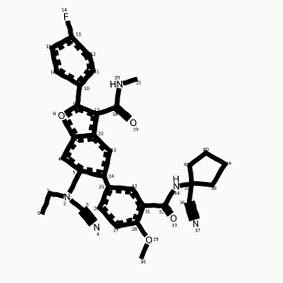 CCN(C#N)c1cc2oc(-c3ccc(F)cc3)c(C(=O)NC)c2cc1-c1ccc(OC)c(C(=O)NC2(C#N)CCCC2)c1